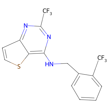 FC(F)(F)c1nc(NCc2ccccc2C(F)(F)F)c2sccc2n1